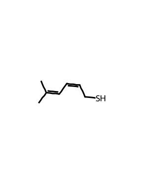 CC(C)=C/C=C\CS